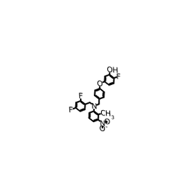 Cc1c(N(Cc2ccc(Oc3ccc(F)c(O)c3)cc2)Cc2ccc(F)cc2F)cccc1[N+](=O)[O-]